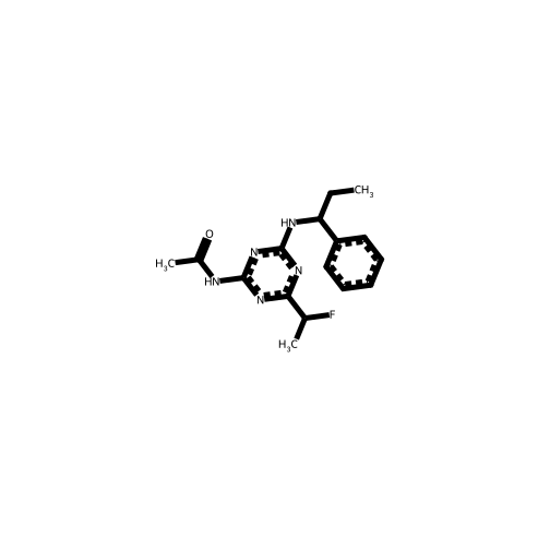 CCC(Nc1nc(NC(C)=O)nc(C(C)F)n1)c1ccccc1